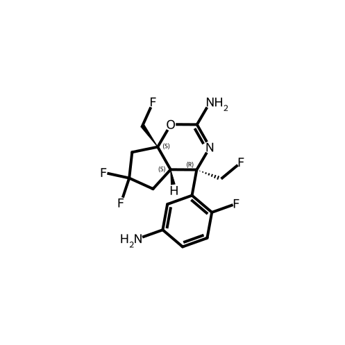 NC1=N[C@@](CF)(c2cc(N)ccc2F)[C@@H]2CC(F)(F)C[C@]2(CF)O1